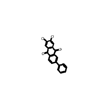 O=C1c2ccc(-c3ccccc3)cc2C(=O)c2cc(Cl)c(Cl)cc21